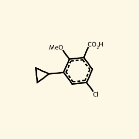 COc1c(C(=O)O)cc(Cl)cc1C1CC1